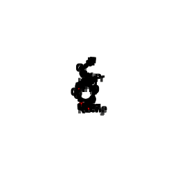 CO[C@@H](C)c1ncccc1-c1c2c3cc(ccc3n1CC(F)(F)F)-c1coc(n1)C[C@H](NC(=O)C(C(C)C)N(C)C(=O)[C@H]1CCN(C(=O)C#CC(C)(C)N3CCC3)C1)C(=O)N1CCC[C@H](N1)C(=O)OCC(C)(C)C2